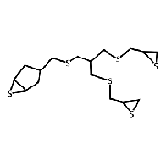 C(SCC1CC2SC2C1)C(CSCC1CS1)CSCC1CS1